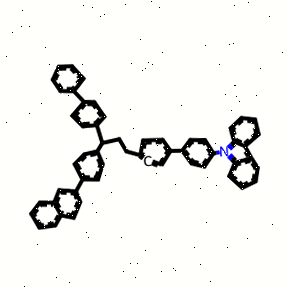 c1ccc(-c2ccc(C(CCc3ccc(-c4ccc(-n5c6ccccc6c6ccccc65)cc4)cc3)c3ccc(-c4ccc5ccccc5c4)cc3)cc2)cc1